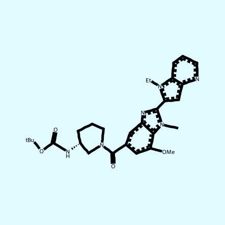 CCn1c(-c2nc3cc(C(=O)N4CCC[C@@H](NC(=O)OC(C)(C)C)C4)cc(OC)c3n2C)cc2ncccc21